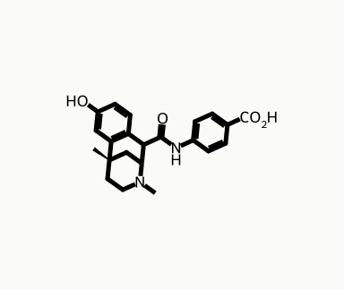 CN1CC[C@@]2(C)CC1C(C(=O)Nc1ccc(C(=O)O)cc1)c1ccc(O)cc12